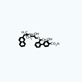 CC(OC[C@H](O)CNC(C)(C)Cc1ccc2ccccc2c1)c1ccccc1-c1ccc(C(=O)O)c(O)c1